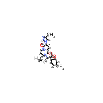 CC1=CCn2c(ccc(-n3cnc(C)c3)c2=O)C(=O)N1C(C)c1coc2cc(C(F)(F)F)ccc12